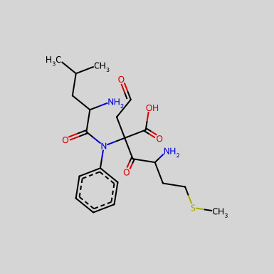 CSCCC(N)C(=O)C(CC=O)(C(=O)O)N(C(=O)C(N)CC(C)C)c1ccccc1